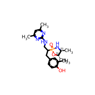 Cc1cc(C)nc(NCC(Cc2ccc(O)c(C)c2)P2(=O)N[C@@H](C)[C@H](C)O2)n1